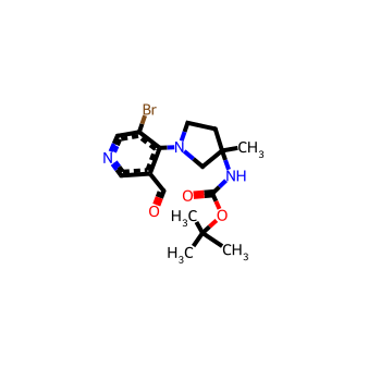 CC1(NC(=O)OC(C)(C)C)CCN(c2c(Br)cncc2C=O)C1